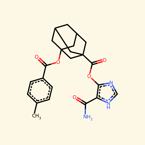 Cc1ccc(C(=O)OC23CC4CC(C2)CC(C(=O)Oc2nc[nH]c2C(N)=O)(C4)C3)cc1